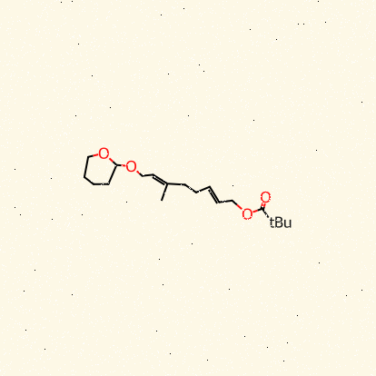 C/C(=C\COC1CCCCO1)CC/C=C/COC(=O)C(C)(C)C